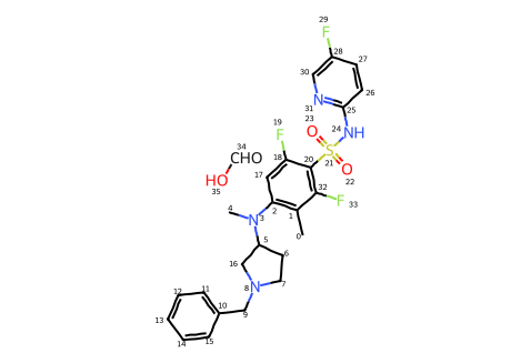 Cc1c(N(C)C2CCN(Cc3ccccc3)C2)cc(F)c(S(=O)(=O)Nc2ccc(F)cn2)c1F.O=CO